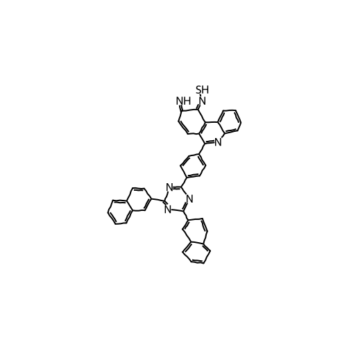 N=C1C=Cc2c(-c3ccc(-c4nc(-c5ccc6ccccc6c5)nc(-c5ccc6ccccc6c5)n4)cc3)nc3ccccc3c2/C1=N/S